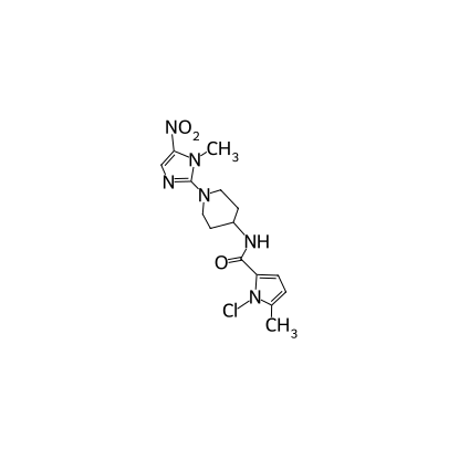 Cc1ccc(C(=O)NC2CCN(c3ncc([N+](=O)[O-])n3C)CC2)n1Cl